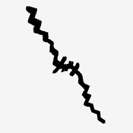 CCCCCCCCCCCC(C)(C)N=NC(C)(C)CCCCCCCCCCC